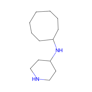 C1CCCC(NC2CCNCC2)CCC1